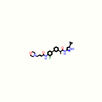 CC(C(=O)Nc1cc(C2CC2)[nH]n1)c1cccc(-c2ccc(NC(=O)C=CCN3CCOCC3)c(F)c2)c1